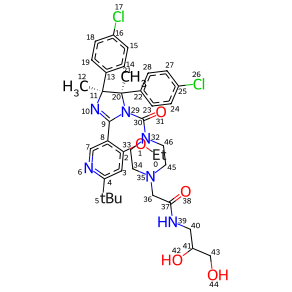 CCOc1cc(C(C)(C)C)ncc1C1=N[C@@](C)(c2ccc(Cl)cc2)[C@@](C)(c2ccc(Cl)cc2)N1C(=O)N1CCN(CC(=O)NCC(O)CO)CC1